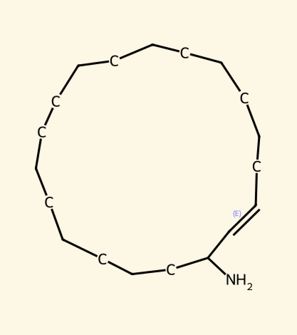 NC1/C=C/CCCCCCCCCCCCCCCC1